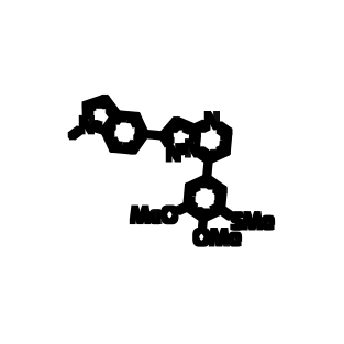 COc1cc(-c2ccnc3cc(-c4ccc5c(ccn5C)c4)nn23)cc(SC)c1OC